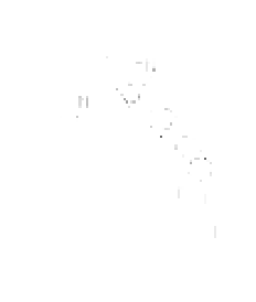 C=CC(=O)N1CCCC(n2nc(-c3cnc(C(=O)Nc4cc(C(F)(F)CCC)ccn4)nc3)c3cncc(Cl)c32)C1